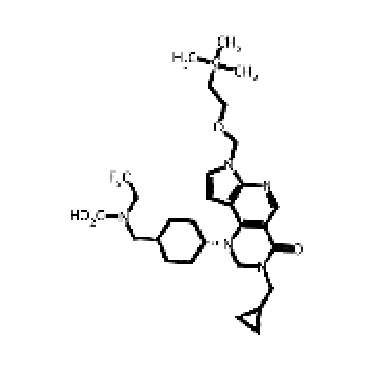 C[Si](C)(C)CCOCn1ccc2c3c(cnc21)C(=O)N(CC1CC1)CN3[C@H]1CC[C@H](CN(CC(F)(F)F)C(=O)O)CC1